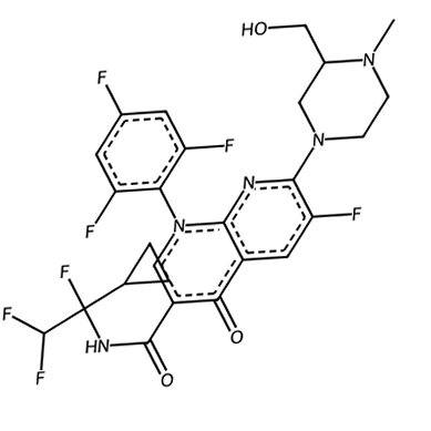 CN1CCN(c2nc3c(cc2F)c(=O)c(C(=O)NC(F)(C(F)F)C2CC2)cn3-c2c(F)cc(F)cc2F)CC1CO